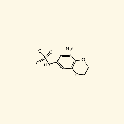 O=S(=O)([O-])Nc1ccc2c(c1)OCCO2.[Na+]